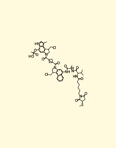 CSC1CC(=O)N(CCCCCC(=O)NC(C(=O)NC(C)C(=O)Nc2cc3c(c4ccccc24)C(CCl)CN3C(=O)C23CC(C(=O)N4CC(CCl)c5c4cc(OP(C)(=O)O)c4[nH]cc(C)c54)(C2)C3)C(C)C)C1=O